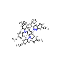 Cc1ccc(-c2cc(C)ccc2Nc2cc(N(c3ccc(C)cc3)c3ccc(C)cc3)cc(N(c3ccc(C)cc3)c3ccc(C)cc3)c2)cc1